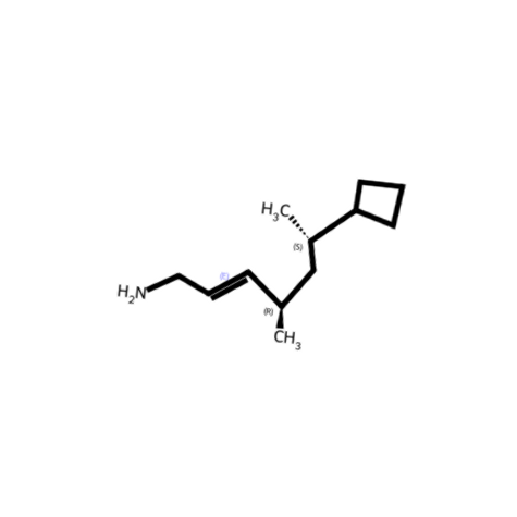 C[C@@H](/C=C/CN)C[C@H](C)C1CCC1